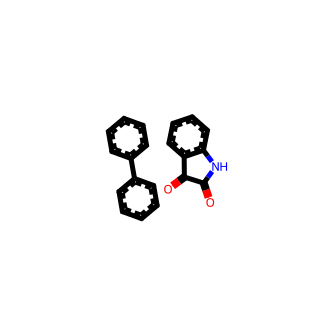 O=C1Nc2ccccc2C1=O.c1ccc(-c2ccccc2)cc1